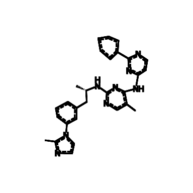 Cc1cnc(N[C@@H](C)Cc2cccc(-n3ccnc3C)c2)nc1Nc1ccnc(-c2ccccc2)n1